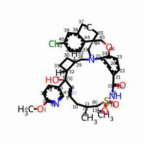 COc1ccc([C@@]2(O)/C=C/C[C@H](C)[C@@H](C)S(=O)(=O)NC(=O)c3ccc4c(c3)N(C[C@@H]3CC[C@H]32)C[C@@]2(CCCc3cc(Cl)ccc32)CO4)cn1